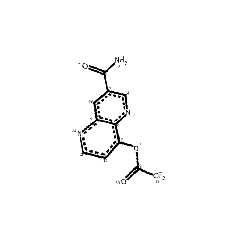 NC(=O)c1cnc2c(OC(=O)C(F)(F)F)ccnc2c1